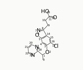 CC(Oc1cc2onc(CCC(=O)O)c2cc1Cl)c1ncccn1